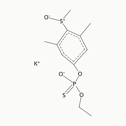 CCOP([O-])(=S)Oc1cc(C)c([S+](C)[O-])c(C)c1.[K+]